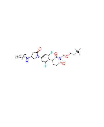 C[Si](C)(C)CCOCN1C(=O)CCC(c2c(F)cc(N3CC(NC(=O)O)CC3=O)cc2F)C1=O